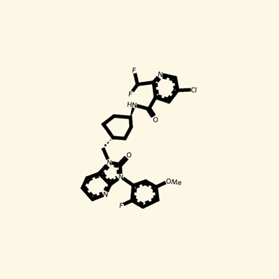 COc1ccc(F)c(-n2c(=O)n(C[C@H]3CC[C@H](NC(=O)c4cc(Cl)cnc4C(F)F)CC3)c3cccnc32)c1